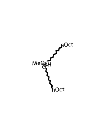 CCCCCCCCC=CCCCCCCCCO[SiH](OC)OCCCCCCCCC=CCCCCCCCC